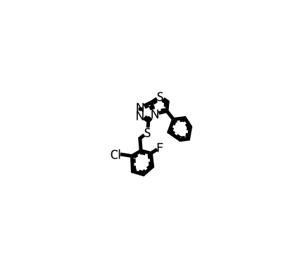 Fc1cccc(Cl)c1CSc1nnc2scc(-c3ccccc3)n12